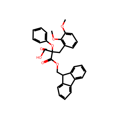 COc1cccc(CC(Oc2ccccc2)(C(=O)O)C(=O)OCC2c3ccccc3-c3ccccc32)c1OC